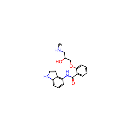 CC(C)NCC(O)COc1ccccc1C(=O)Nc1cccc2[nH]ccc12